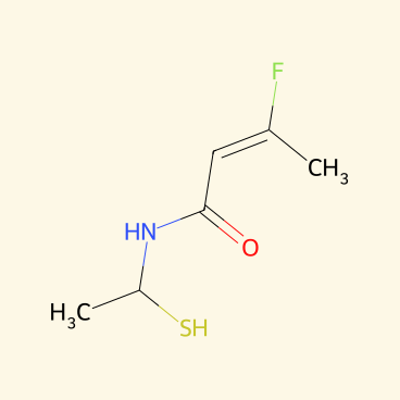 C/C(F)=C\C(=O)NC(C)S